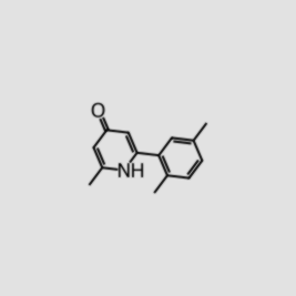 Cc1ccc(C)c(-c2cc(=O)cc(C)[nH]2)c1